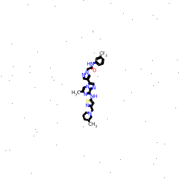 Cc1cn2c(-c3cnn(CC(=O)Nc4cccc(C(F)(F)F)c4)c3)cnc2c(Nc2cc(CN3CCCC(C)C3)ns2)n1